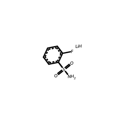 NS(=O)(=O)c1ccccc1F.[LiH]